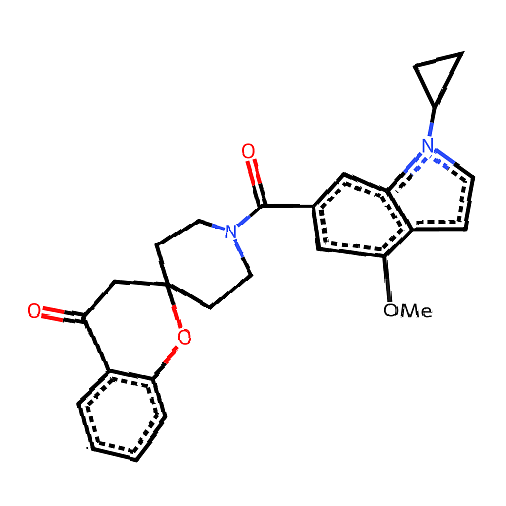 COc1cc(C(=O)N2CCC3(CC2)CC(=O)c2c[c]ccc2O3)cc2c1ccn2C1CC1